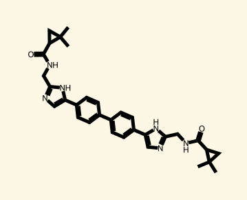 CC1(C)CC1C(=O)NCc1ncc(-c2ccc(-c3ccc(-c4cnc(CNC(=O)C5CC5(C)C)[nH]4)cc3)cc2)[nH]1